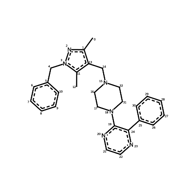 Cc1nn(Cc2ccccc2)c(C)c1CN1CCN(c2nccnc2-c2ccccc2)CC1